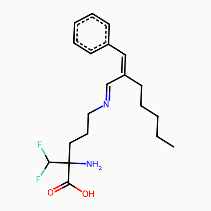 CCCCCC(C=NCCCC(N)(C(=O)O)C(F)F)=Cc1ccccc1